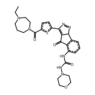 CCN1CCCN(C(=O)c2ccc(C3=C4C(=O)c5c(NC(=O)NN6CCOCC6)cccc5C4N=N3)s2)CC1